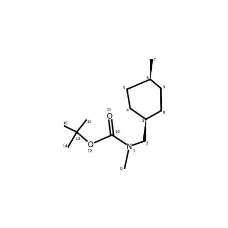 CN(C[C@H]1CC[C@@H](C)CC1)C(=O)OC(C)(C)C